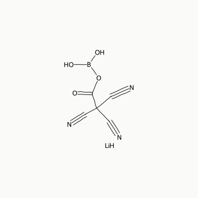 N#CC(C#N)(C#N)C(=O)OB(O)O.[LiH]